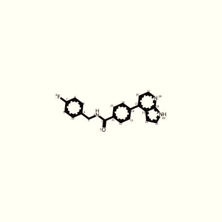 O=C(NCc1ccc(F)cc1)c1ccc(-c2ccnc3[nH]ccc23)cc1